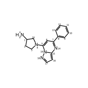 NC1CCN(c2cc(-c3ccccc3)nc3ccnn23)C1